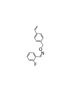 C=Cc1ccc(CO/N=[C]\c2ccccc2F)cc1